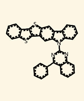 c1ccc(-c2nc(-n3c4ccccc4c4cc5sc6c7ccccc7sc6c5cc43)nc3ccccc23)cc1